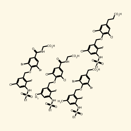 CCS(=O)(=O)Nc1cc(C)cc(COc2c(Br)cc(CC(=O)O)cc2Br)c1F.CCS(=O)(=O)Nc1cc(C)cc(COc2c(Cl)cc(C(=O)NCC(=O)O)cc2Cl)c1F.CCS(=O)(=O)Nc1cc(Cl)cc(COc2c(Br)cc(C(=O)NCC(=O)O)cc2Br)c1F.CCS(=O)(=O)Nc1cc(Cl)cc(COc2c(Cl)cc(CCC(=O)O)cc2Cl)c1F